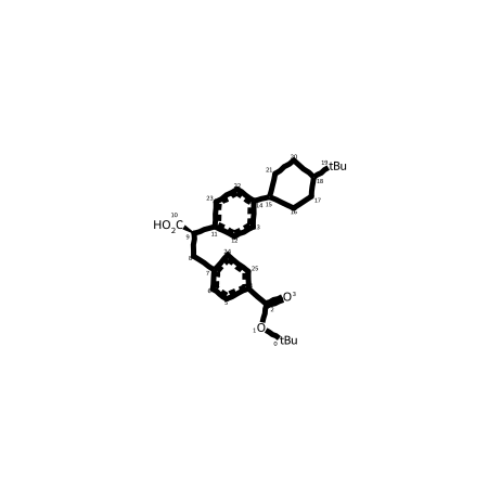 CC(C)(C)OC(=O)c1ccc(C[C@@H](C(=O)O)c2ccc(C3CCC(C(C)(C)C)CC3)cc2)cc1